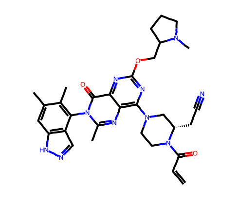 C=CC(=O)N1CCN(c2nc(OCC3CCCN3C)nc3c(=O)n(-c4c(C)c(C)cc5[nH]ncc45)c(C)nc23)C[C@@H]1CC#N